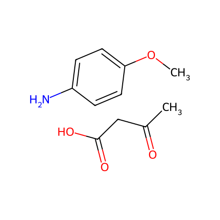 CC(=O)CC(=O)O.COc1ccc(N)cc1